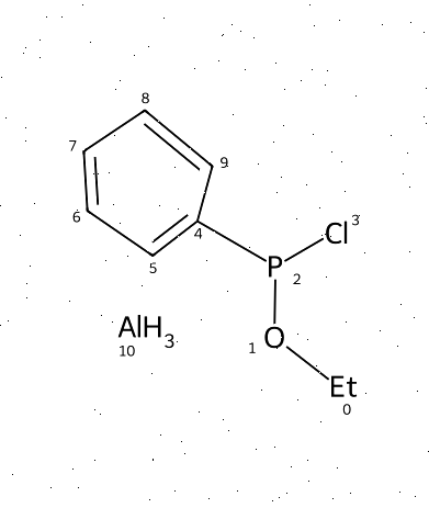 CCOP(Cl)c1ccccc1.[AlH3]